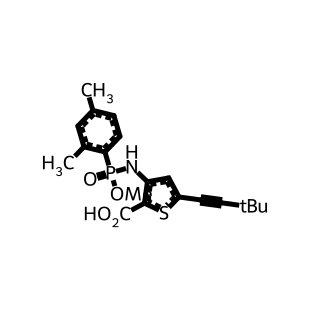 COP(=O)(Nc1cc(C#CC(C)(C)C)sc1C(=O)O)c1ccc(C)cc1C